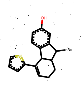 CCCCC1c2cc(O)ccc2C2C(c3cccs3)=CCCC12